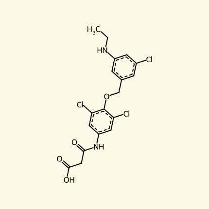 CCNc1cc(Cl)cc(COc2c(Cl)cc(NC(=O)CC(=O)O)cc2Cl)c1